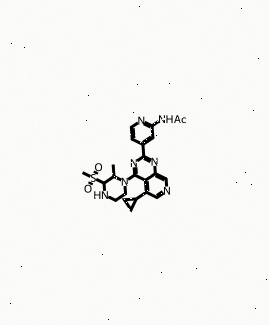 CC(=O)Nc1cc(-c2nc(N3CCNC(S(C)(=O)=O)C3C)c3c(C4CC4)cncc3n2)ccn1